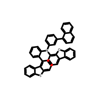 c1cc(-c2cccc3ccccc23)cc(N(c2ccccc2-c2cccc3sc4ccccc4c23)c2cccc3c2oc2ccccc23)c1